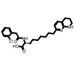 O=C(Cc1ccccc1Cl)N[C@@H](CCCCCCCc1ccc2c(n1)NCCC2)C(=O)O